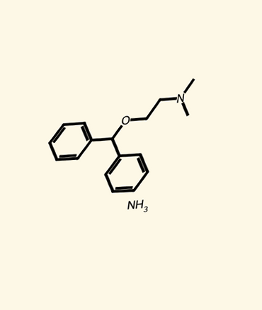 CN(C)CCOC(c1ccccc1)c1ccccc1.N